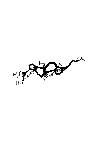 CCCC1C2[C@H]3CC[C@@H]4[C@H](CC[C@]5(C)[C@@H](C(C)CO)CC[C@@H]45)[C@@]3(C)CC[C@]12O